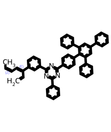 C=C/C(=C\C=C/C)c1cccc(-c2nc(-c3ccccc3)nc(-c3ccc(-c4c(-c5ccccc5)cc(-c5ccccc5)cc4-c4ccccc4)cc3)n2)c1